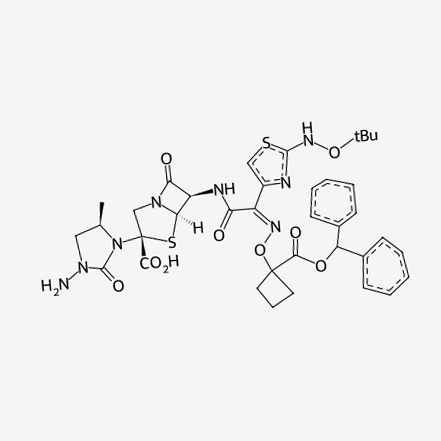 C[C@@H]1CN(N)C(=O)N1[C@]1(C(=O)O)CN2C(=O)[C@@H](NC(=O)/C(=N\OC3(C(=O)OC(c4ccccc4)c4ccccc4)CCC3)c3csc(NOC(C)(C)C)n3)[C@H]2S1